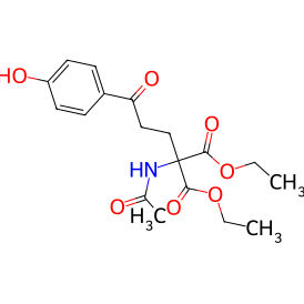 CCOC(=O)C(CCC(=O)c1ccc(O)cc1)(NC(C)=O)C(=O)OCC